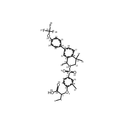 CCC(Oc1ccc(S(=O)(=O)N2CC(C)(C)c3ccc(-c4ccc(OC(F)(F)F)cc4)cc3C2C)cc1C)C(=O)O